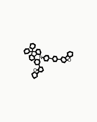 c1ccc(C2(c3ccccc3)c3ccccc3-c3c(N(c4ccc(-c5ccc(-c6ccc7oc8ccccc8c7c6)cc5)cc4)c4cccc(-c5cccc6c5oc5ccccc56)c4)cccc32)cc1